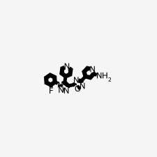 Nc1cc(-c2noc(-c3nnn(-c4ccccc4F)c3-c3ccncc3)n2)ccn1